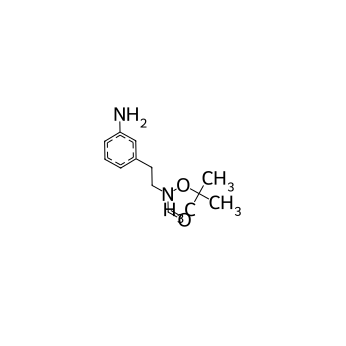 CC(C)(C)ON(C=O)CCc1cccc(N)c1